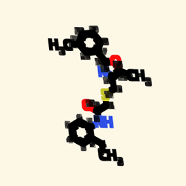 CCc1ccccc1NC(=O)CSCc1nc(-c2cccc(C)c2)oc1C